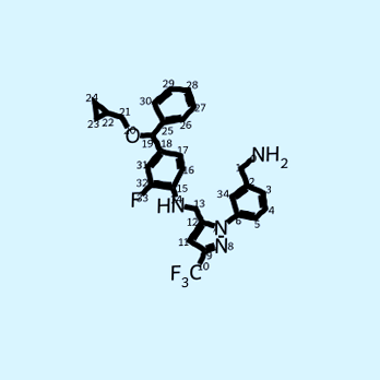 NCc1cccc(-n2nc(C(F)(F)F)cc2CNc2ccc(C(OCC3CC3)c3ccccc3)cc2F)c1